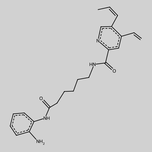 C=Cc1cc(C(=O)NCCCCCC(=O)Nc2ccccc2N)ncc1/C=C\C